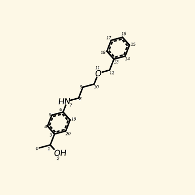 CC(O)c1ccc(NCCCOCc2ccccc2)cc1